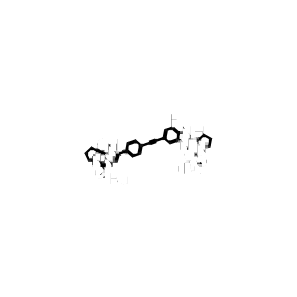 CC(C)(C)OC(=O)N1CCC[C@H]1c1nc2cc(C#Cc3ccc(-c4c[nH]c([C@@]5(C)CCCN5C(=O)OC(C)(C)C)n4)cc3)cc(F)c2[nH]1